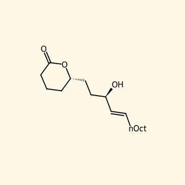 CCCCCCCC/C=C/[C@H](O)CC[C@@H]1CCCC(=O)O1